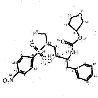 CC(C)CN(C[C@@H](O)[C@H](Cc1ccccc1)NC(=O)OC1CCOC1)S(=O)(=O)c1ccc([N+](=O)[O-])cc1